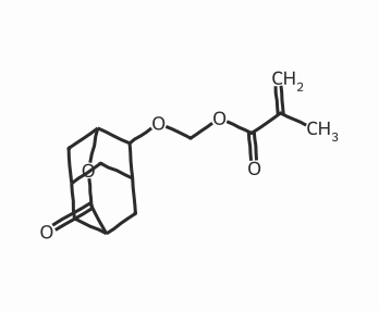 C=C(C)C(=O)OCOC1C2CC3CC(C2)C(=O)OC1C3